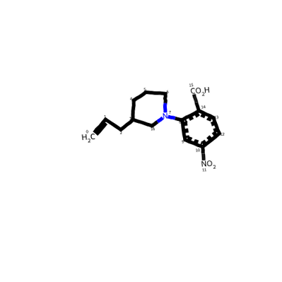 C=CCC1CCCN(c2cc([N+](=O)[O-])ccc2C(=O)O)C1